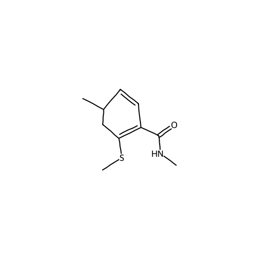 CNC(=O)C1=C(SC)CC(C)C=C1